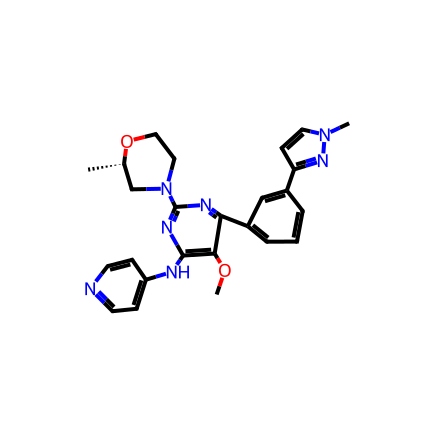 COc1c(Nc2ccncc2)nc(N2CCO[C@@H](C)C2)nc1-c1cccc(-c2ccn(C)n2)c1